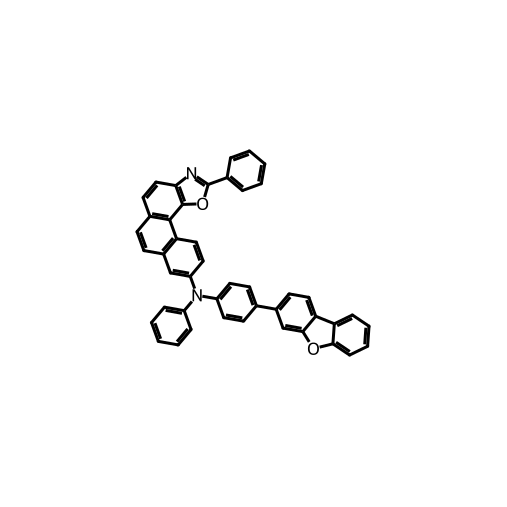 c1ccc(-c2nc3ccc4ccc5cc(N(c6ccccc6)c6ccc(-c7ccc8c(c7)oc7ccccc78)cc6)ccc5c4c3o2)cc1